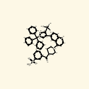 CS(=O)(=O)c1cccc(C(=O)C2CCN(c3ccnc4ccc(-c5cn(C(c6ccccc6)(c6ccccc6)c6ccccc6)nc5C(F)(F)F)cc34)CC2)c1